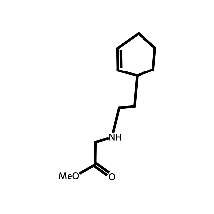 COC(=O)CNCCC1C=CCCC1